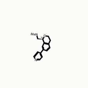 CNC[C@H]1OCCc2ccc(-c3ccncc3)cc21